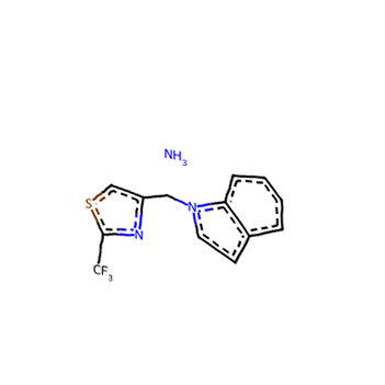 FC(F)(F)c1nc(Cn2ccc3ccccc32)cs1.N